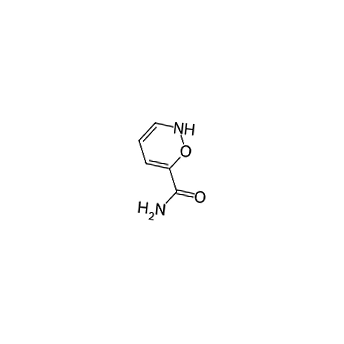 NC(=O)C1=CC=CNO1